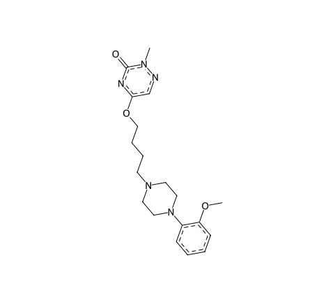 COc1ccccc1N1CCN(CCCCOc2cnn(C)c(=O)n2)CC1